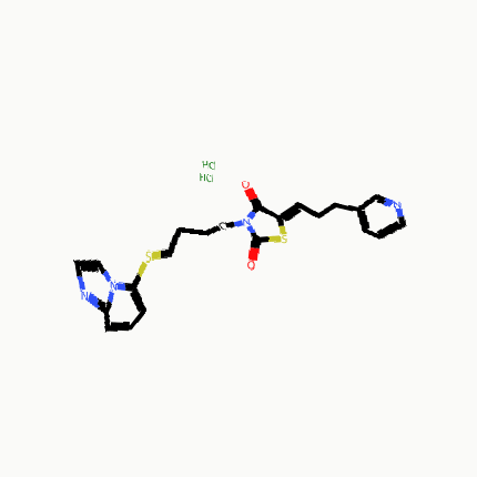 Cl.Cl.O=C1SC(=CCCc2cccnc2)C(=O)N1CCCCSc1cccc2nccn12